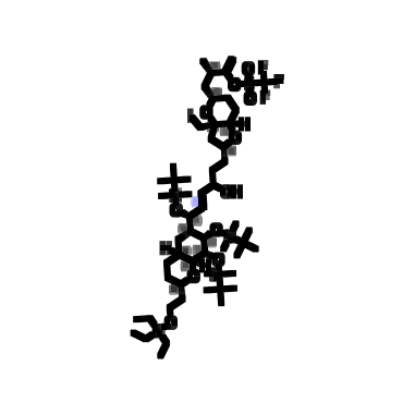 C=C(OS(=O)(=O)C(F)(F)F)[C@H](C)C[C@H]1CC[C@@H]2O[C@@H](CCC(O)/C=C/[C@H](O[Si](C)(C)C(C)(C)C)[C@@H]3C[C@H]4CC[C@H](CCO[Si](CC)(CC)CC)O[C@@H]4[C@H](O[Si](C)(C)C(C)(C)C)[C@@H]3O[Si](C)(C)C(C)(C)C)C[C@]2(CI)O1